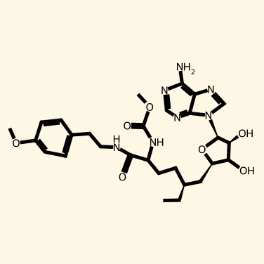 CC[C@@H](CCC(NC(=O)OC)C(=O)NCCc1ccc(OC)cc1)C[C@H]1O[C@@H](n2cnc3c(N)ncnc32)[C@@H](O)C1O